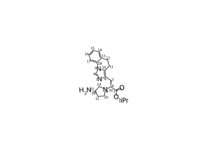 CC(C)OC(=O)[C@H](Cc1ncn2c1CCc1ccccc1-2)N1CC[C@H](N)C1